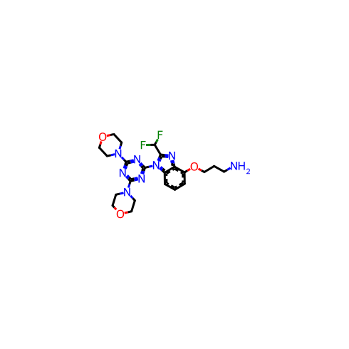 NCCCOc1cccc2c1nc(C(F)F)n2-c1nc(N2CCOCC2)nc(N2CCOCC2)n1